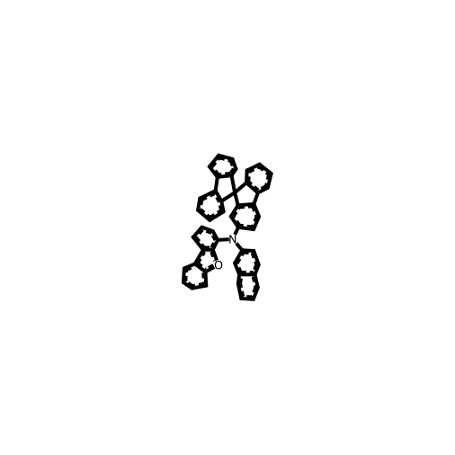 c1ccc2c(c1)-c1ccccc1C21c2ccccc2-c2ccc(N(c3ccc4ccccc4c3)c3cccc4c3oc3ccccc34)cc21